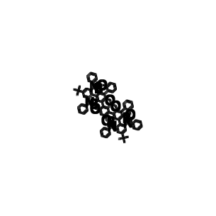 CC(C)(C)c1cc2c3c(c1)N(c1ccccc1)B1Oc4cc5c6c7c4-c4c(c8c(c-3c41)B(Oc1ccccc1-8)N2c1ccccc1)OC7Oc1c2c3c4c(c1-6)B(O5)N(c1ccccc1)c1cc(C(C)(C)C)cc(c1-4)N(c1ccccc1)B3Oc1ccccc1-2